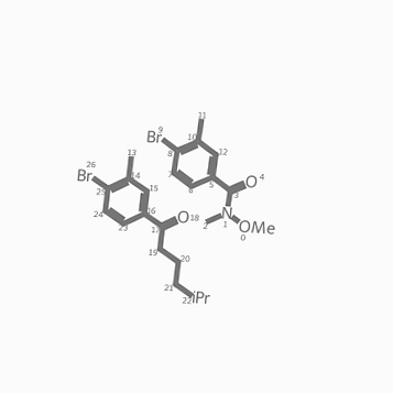 CON(C)C(=O)c1ccc(Br)c(C)c1.Cc1cc(C(=O)CCCC(C)C)ccc1Br